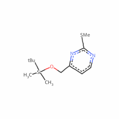 CSc1nccc(CO[Si](C)(C)C(C)(C)C)n1